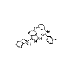 Cc1cccc(C(=O)Nc2cccc(Oc3ccc4c(-c5cc6ccccc6[nH]5)n[nH]c4c3)c2)c1